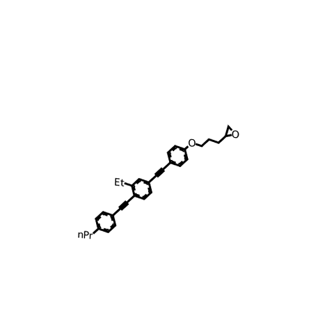 CCCc1ccc(C#Cc2ccc(C#Cc3ccc(OCCCC4CO4)cc3)cc2CC)cc1